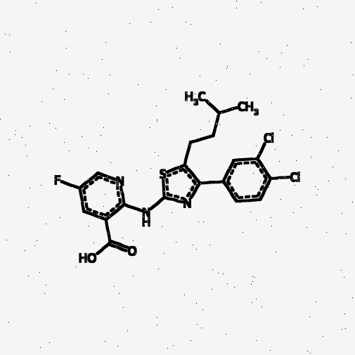 CC(C)CCc1sc(Nc2ncc(F)cc2C(=O)O)nc1-c1ccc(Cl)c(Cl)c1